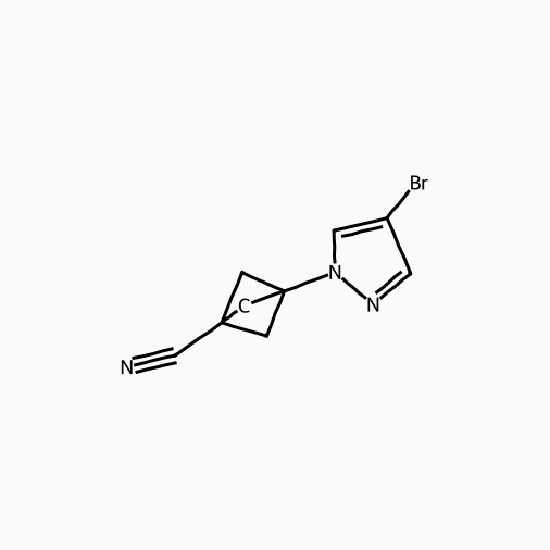 N#CC12CC(n3cc(Br)cn3)(C1)C2